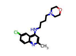 Cc1cc(NCCCCN2CCOCC2)c2cc(Cl)ccc2n1